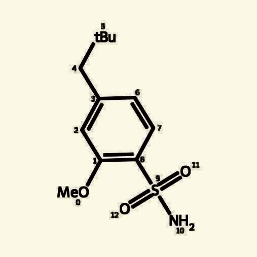 COc1cc(CC(C)(C)C)ccc1S(N)(=O)=O